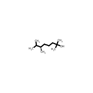 CC(C)[C@H](C)CCCC(C)(C)O